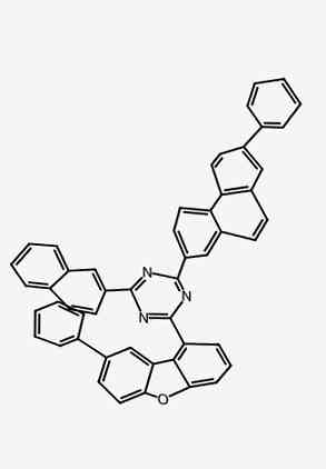 c1ccc(-c2ccc3c(ccc4cc(-c5nc(-c6ccc7ccccc7c6)nc(-c6cccc7oc8ccc(-c9ccccc9)cc8c67)n5)ccc43)c2)cc1